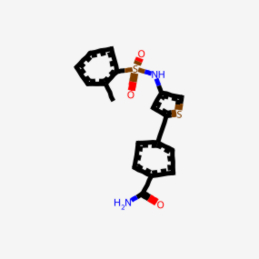 Cc1ccccc1S(=O)(=O)Nc1csc(-c2ccc(C(N)=O)cc2)c1